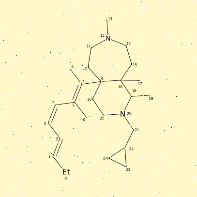 CC/C=C/C=C\C(C)=C(/C)C12CCN(C)CCC1(C)C(C)N(CC1CC1)CC2